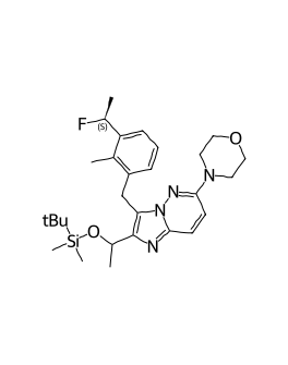 Cc1c(Cc2c(C(C)O[Si](C)(C)C(C)(C)C)nc3ccc(N4CCOCC4)nn23)cccc1[C@H](C)F